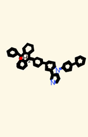 C=C(C1=CCCC=C1/C(=C1/C=CC(c2ccc3c(c2)c2cnccc2n3-c2ccc(-c3ccccc3)cc2)=CC1)c1cc#ccc1)c1ccccc1